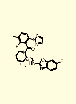 Cc1ccc(-n2nccn2)c(C(=O)N2CCC[C@@H](C)[C@H]2CNc2nc3ccc(F)cc3o2)c1F